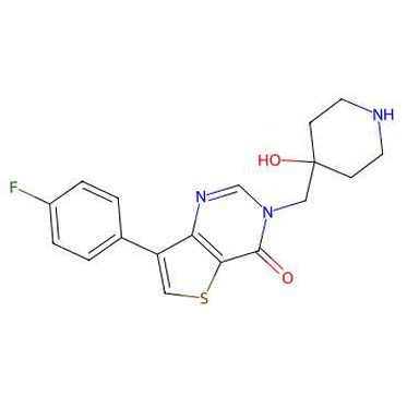 O=c1c2scc(-c3ccc(F)cc3)c2ncn1CC1(O)CCNCC1